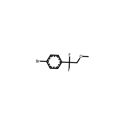 COCC(F)(F)c1ccc(Br)cc1